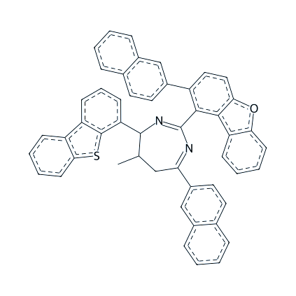 CC1CC(c2ccc3ccccc3c2)=NC(c2c(-c3ccc4ccccc4c3)ccc3oc4ccccc4c23)=NC1c1cccc2c1sc1ccccc12